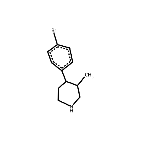 CC1CNCCC1c1ccc(Br)cc1